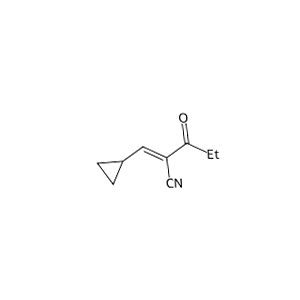 CCC(=O)/C(C#N)=C/C1CC1